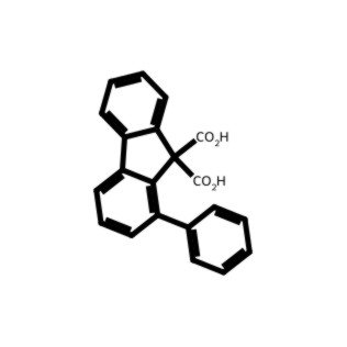 O=C(O)C1(C(=O)O)c2ccccc2-c2cccc(-c3ccccc3)c21